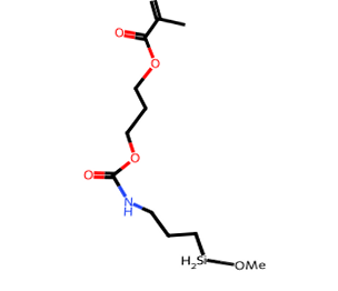 C=C(C)C(=O)OCCCOC(=O)NCCC[SiH2]OC